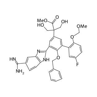 COCOc1ccc(F)cc1-c1cc(C(CO)(CO)C(=O)OC)cc(-c2nc3cc(C(=N)N)ccc3[nH]2)c1OCc1ccccc1